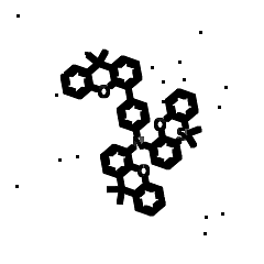 CC1(C)c2ccccc2Oc2c(-c3ccc(N(c4cccc5c4Oc4ccccc4C5(C)C)c4cccc5c4Oc4ccccc4[Si]5(C)C)cc3)cccc21